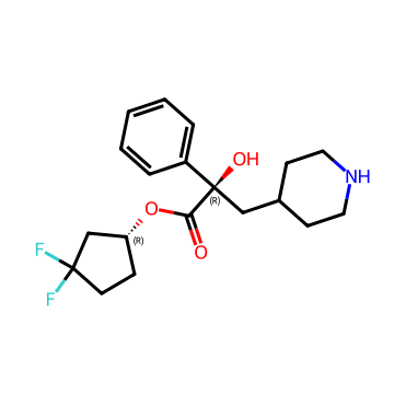 O=C(O[C@@H]1CCC(F)(F)C1)[C@@](O)(CC1CCNCC1)c1ccccc1